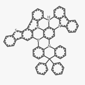 c1ccc(C2(c3ccccc3)c3ccccc3N3c4cc5c6c7c4B(c4cccc2c43)c2cc3c4ccccc4sc3c3c4cccc(c4n-7c23)[SH]6c2cccc3c4ccccc4n-5c23)cc1